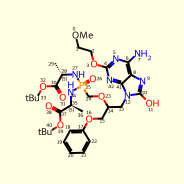 COCCOc1nc(N)c2nc(O)n(CC(COc3ccccc3)OCP(=O)(N[C@@H](C)C(=O)OC(C)(C)C)N[C@@H](C)C(=O)OC(C)(C)C)c2n1